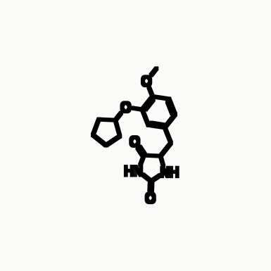 COc1ccc(CC2NC(=O)NC2=O)cc1OC1CCCC1